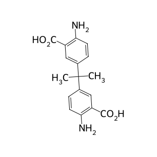 CC(C)(c1ccc(N)c(C(=O)O)c1)c1ccc(N)c(C(=O)O)c1